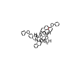 Cc1ccc2ccccc2c1N(Cc1ccc(Oc2ccccc2)cc1)C(=O)C1C(C(=O)O)C(C(=O)N(Cc2ccc(Oc3ccccc3)cc2)c2c(C)ccc3ccccc23)C1C(=O)O